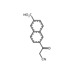 N#CCC(=O)c1ccc2cc(C(=O)O)ccc2c1